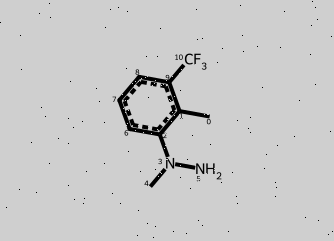 Cc1c(N(C)N)cccc1C(F)(F)F